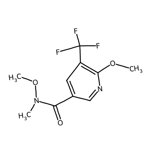 COc1ncc(C(=O)N(C)OC)cc1C(F)(F)F